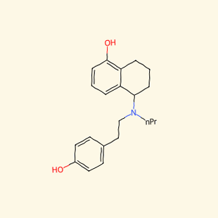 CCCN(CCc1ccc(O)cc1)C1CCCc2c(O)cccc21